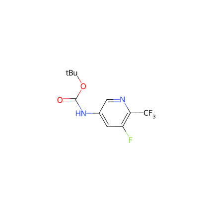 CC(C)(C)OC(=O)Nc1cnc(C(F)(F)F)c(F)c1